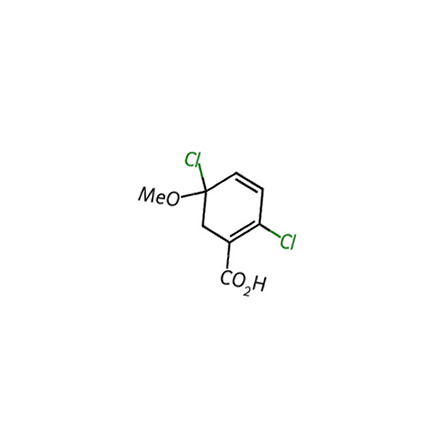 COC1(Cl)C=CC(Cl)=C(C(=O)O)C1